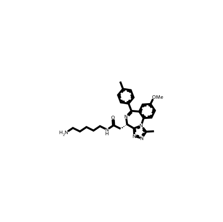 COc1ccc2c(c1)C(c1ccc(C)cc1)=N[C@@H](CC(=O)NCCCCCN)c1nnc(C)n1-2